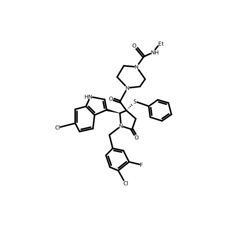 CCNC(=O)N1CCN(C(=O)[C@@]2(Sc3ccccc3)CC(=O)N(Cc3ccc(Cl)c(F)c3)[C@H]2c2c[nH]c3cc(Cl)ccc23)CC1